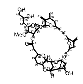 C=C1CC2CC[C@]34CC(O)C(O3)[C@H]3CC(O4)[C@H]4OC(CCC4O3)CC(=O)CC3[C@H](C[C@H]4OC(CCC1O2)CC(C)C4=C)O[C@H](C[C@H](O)CO)[C@@H]3OC